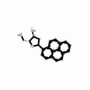 OC[C@H]1OC(c2ccc3ccc4cccc5ccc2c3c45)C[C@@H]1O